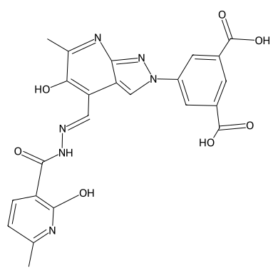 Cc1ccc(C(=O)NN=Cc2c(O)c(C)nc3nn(-c4cc(C(=O)O)cc(C(=O)O)c4)cc23)c(O)n1